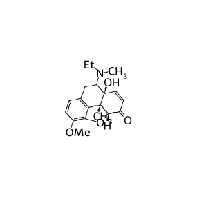 CCN(C)C1Cc2ccc(OC)c3c2[C@@]2(C)[C@@H](O3)C(=O)C=C[C@@]12O